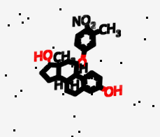 Cc1cc(O[C@H]2C[C@]3(C)[C@@H](O)CC[C@H]3[C@@H]3CCc4cc(O)ccc4[C@H]32)ccc1[N+](=O)[O-]